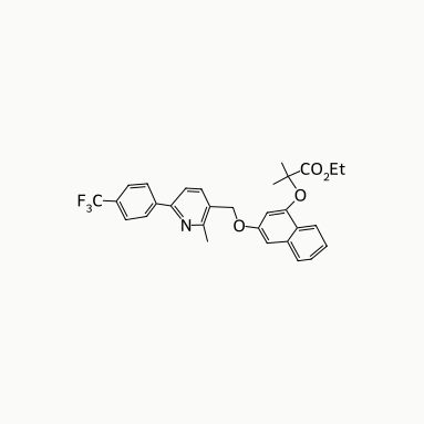 CCOC(=O)C(C)(C)Oc1cc(OCc2ccc(-c3ccc(C(F)(F)F)cc3)nc2C)cc2ccccc12